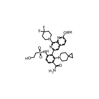 COc1ccc2cc(-c3c(NS(=O)(=O)CCO)ccc(C(N)=O)c3N3CCC4(CC3)CC4)nc(N3CCC(F)(F)CC3)c2n1